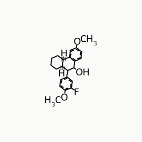 COc1ccc2c(c1)[C@@H]1CCCC[C@@H]1C(c1ccc(OC)c(F)c1)C2O